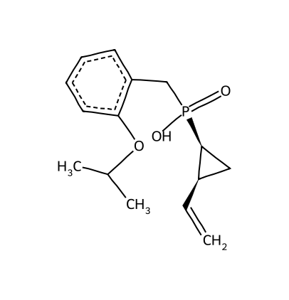 C=C[C@@H]1C[C@@H]1P(=O)(O)Cc1ccccc1OC(C)C